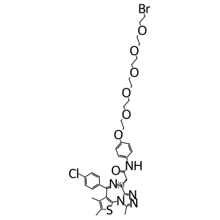 Cc1sc2c(c1C)C(c1ccc(Cl)cc1)=N[C@@H](CC(=O)Nc1ccc(OCCOCCOCCOCCOCCOCCBr)cc1)c1nnc(C)n1-2